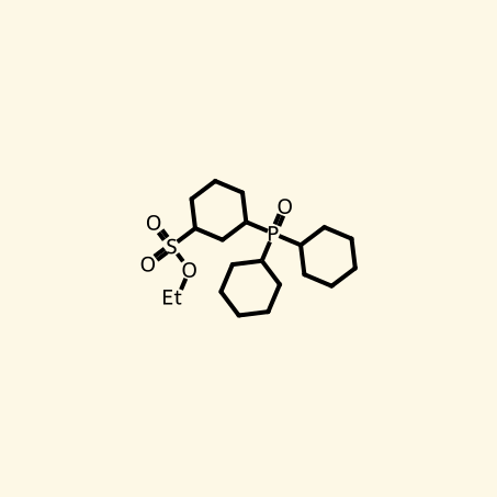 CCOS(=O)(=O)C1CCCC(P(=O)(C2CCCCC2)C2CCCCC2)C1